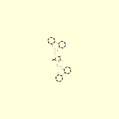 O=c1n(CP2(=O)Oc3ccccc3-c3ccccc32)c(O)c(O)n1CP1(=O)Oc2ccccc2-c2ccccc21